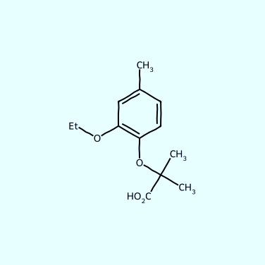 CCOc1cc(C)ccc1OC(C)(C)C(=O)O